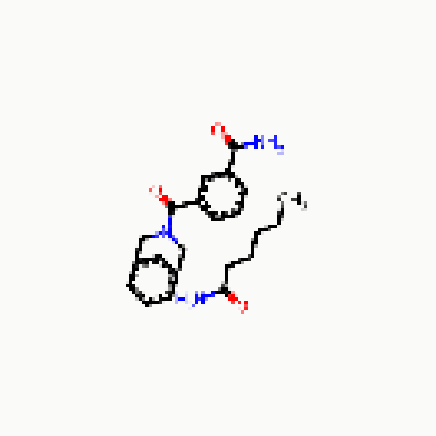 CCCCCC(N)=O.NC(=O)c1cccc(C(=O)N2Cc3cccc(c3)C2)c1